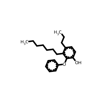 CCCCCCCc1c(CCC)ccc(O)c1Oc1ccccc1